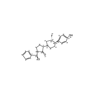 CC[C@@H](c1ccccc1)N1CCC(N2CC[C@H](c3ccc(O)cc3)[C@@H](F)C2)C1=O